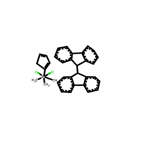 [CH3][Zr]([CH3])([CH3])([Cl])([Cl])[C]1=CC=CC1.c1ccc2c(c1)-c1ccccc1C2C1c2ccccc2-c2ccccc21